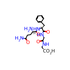 NC(=O)CC[C@H](N)C(=O)N[C@@H](Cc1ccccc1)C(=O)NCC(=O)NCC(=O)O